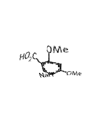 COc1ccc(C(=O)O)c(OC)c1.[NaH]